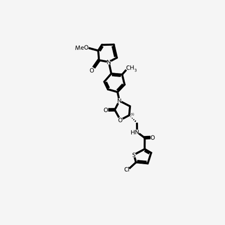 COc1cccn(-c2ccc(N3C[C@H](CNC(=O)c4ccc(Cl)s4)OC3=O)cc2C)c1=O